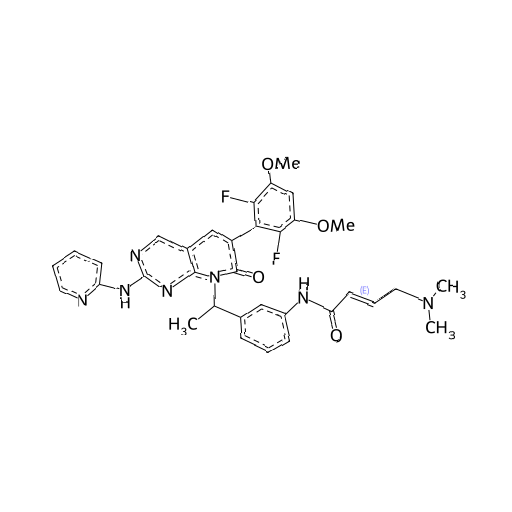 COc1cc(OC)c(F)c(-c2cc3cnc(Nc4ccccn4)nc3n(C(C)c3cccc(NC(=O)/C=C/CN(C)C)c3)c2=O)c1F